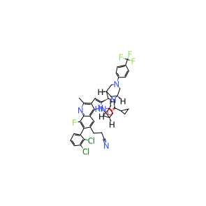 Cc1nc2c(F)c(-c3cccc(Cl)c3Cl)c(CCC#N)cc2c2c1cc([C@H]1[C@H]3C[C@H](CN(c4ccc(C(F)(F)F)cc4)C3)N1C(=O)C1CC1)n2[C@H]1[C@H]2CN[C@@H]1C2